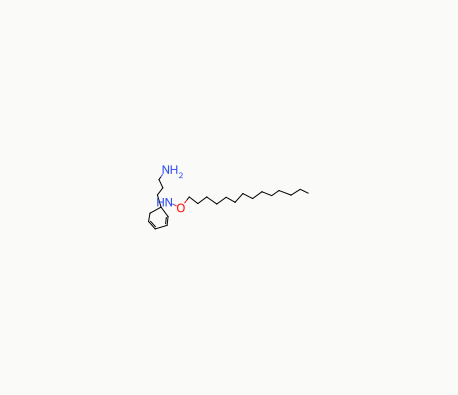 CCCCCCCCCCCCCCONC1(CCCN)C=CC=CC1